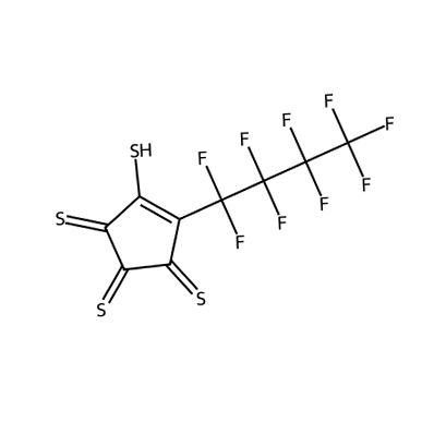 FC(F)(F)C(F)(F)C(F)(F)C(F)(F)c1c(S)c(=S)c(=S)c1=S